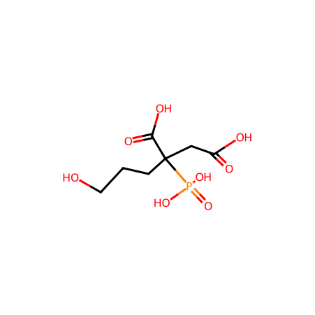 O=C(O)CC(CCCO)(C(=O)O)P(=O)(O)O